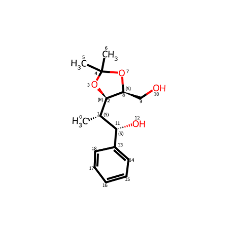 C[C@H]([C@H]1OC(C)(C)O[C@H]1CO)[C@H](O)c1ccccc1